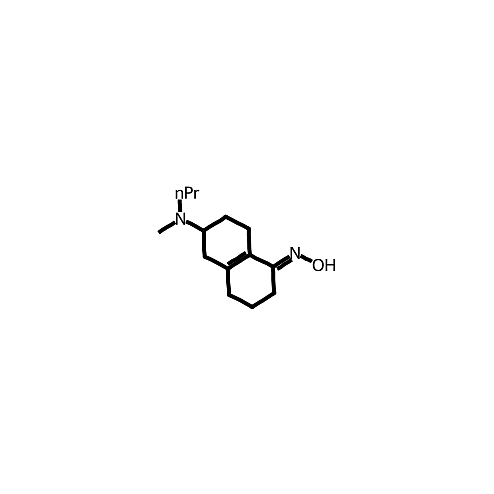 CCCN(C)C1CCC2=C(CCCC2=NO)C1